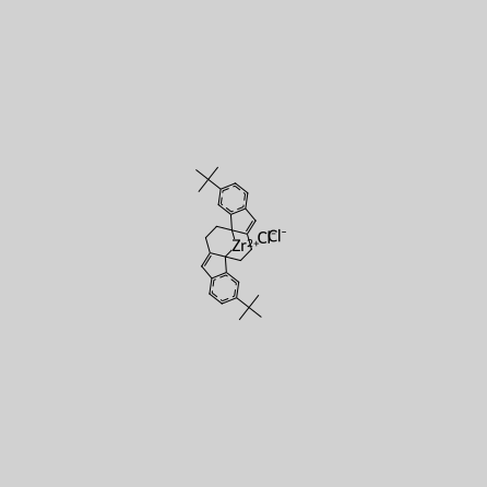 CC(C)(C)c1ccc2c(c1)[C]13CCC4=Cc5ccc(C(C)(C)C)cc5[C]4(CCC1=C2)[Zr+2]3.[Cl-].[Cl-]